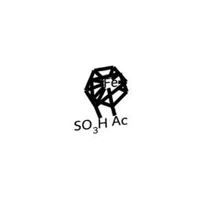 CC(=O)[C]12[CH]3[CH]4[CH]5[CH]1[Fe]45321678[CH]2[CH]1[CH]6[C]7(S(=O)(=O)O)[CH]28